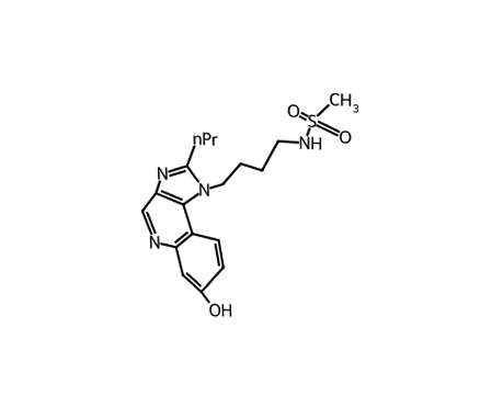 CCCc1nc2cnc3cc(O)ccc3c2n1CCCCNS(C)(=O)=O